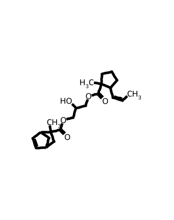 C/C=C\C1CCCC1(C)C(=O)OCC(O)COC(=O)C1(C)CC2C=CC1C2